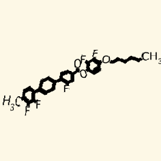 CCCCCCOc1ccc(OC(=O)c2ccc(C3CCC(c4ccc(C)c(F)c4F)CC3)c(F)c2)c(F)c1F